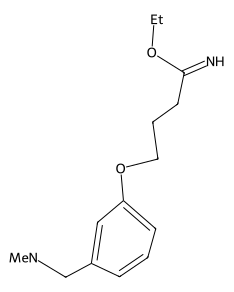 CCOC(=N)CCCOc1cccc(CNC)c1